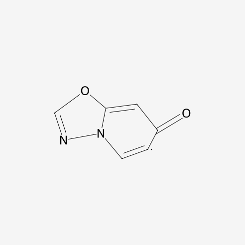 O=c1[c]cn2ncoc2c1